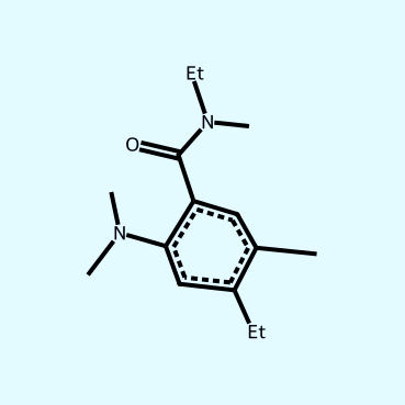 CCc1cc(N(C)C)c(C(=O)N(C)CC)cc1C